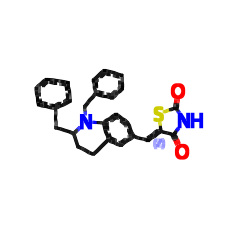 O=C1NC(=O)/C(=C/c2ccc3c(c2)CCC(Cc2ccccc2)N3Cc2ccccc2)S1